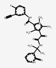 Cc1c(C(=O)C(=O)NC(C)(C)c2ccc[nH]c2=O)c(C)n(C)c1C(=O)Nc1ccc(F)c(C#N)c1